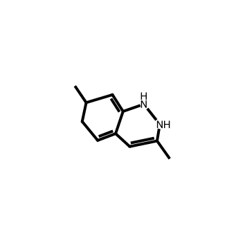 CC1=CC2=CCC(C)C=C2NN1